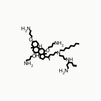 C=CCC(CCN)NCCCN(CCCCCCCC)CCC[C@@H](C)C1CC[C@H]2C3[C@H](C[C@H](OCCCN)C12C)C1CC[C@@H](OCCCN)CC1(C)C[C@H]3OCCCN